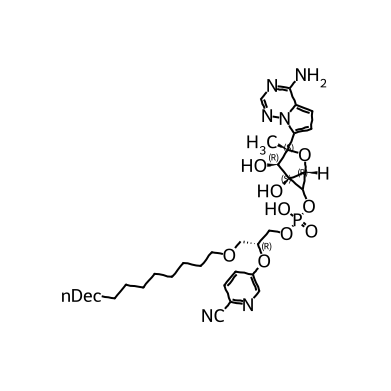 CCCCCCCCCCCCCCCCCCOC[C@H](COP(=O)(O)OC1[C@H]2O[C@@](C)(c3ccc4c(N)ncnn34)[C@H](O)[C@@]12O)Oc1ccc(C#N)nc1